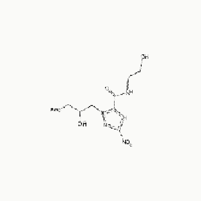 CC(=O)OCC(O)Cn1nc([N+](=O)[O-])nc1C(=O)NCCO